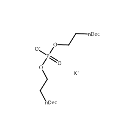 CCCCCCCCCCCCOP(=O)([O-])OCCCCCCCCCCCC.[K+]